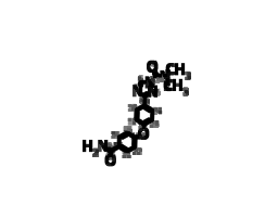 CN(C)C(=O)n1cnc(-c2ccc(Oc3ccc(C(N)=O)cc3)cc2)n1